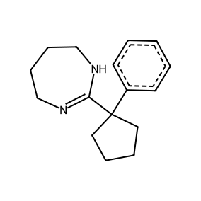 c1ccc(C2(C3=NCCCCN3)CCCC2)cc1